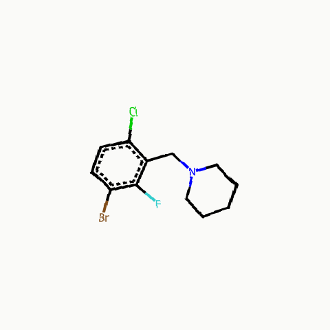 Fc1c(Br)ccc(Cl)c1CN1CCCCC1